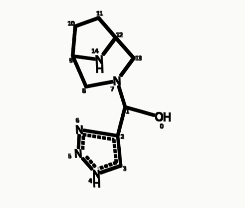 OC(c1c[nH]nn1)N1CC2CCC(C1)N2